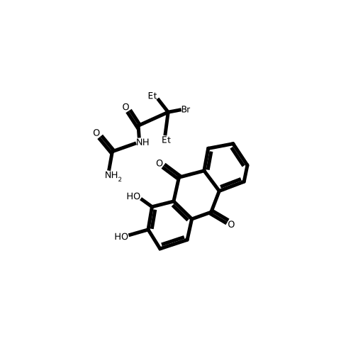 CCC(Br)(CC)C(=O)NC(N)=O.O=C1c2ccccc2C(=O)c2c1ccc(O)c2O